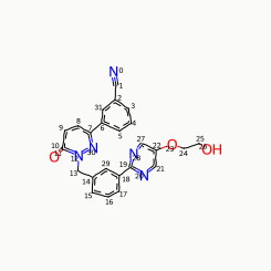 N#Cc1cccc(-c2ccc(=O)n(Cc3cccc(-c4ncc(OCCO)cn4)c3)n2)c1